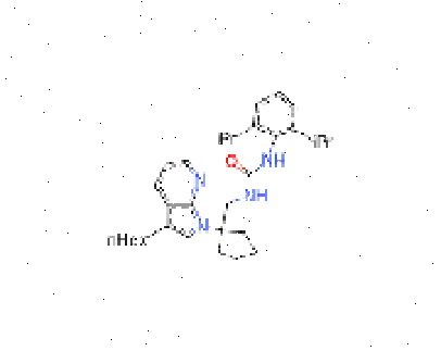 CCCCCCc1cn(C2(CNC(=O)Nc3c(C(C)C)cccc3C(C)C)CCCC2)c2ncccc12